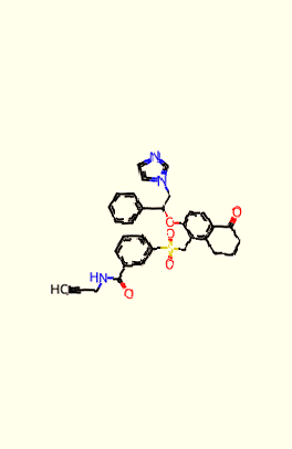 C#CCNC(=O)c1cccc(S(=O)(=O)Cc2c(O[C@H](Cn3ccnc3)c3ccccc3)ccc3c2CCCC3=O)c1